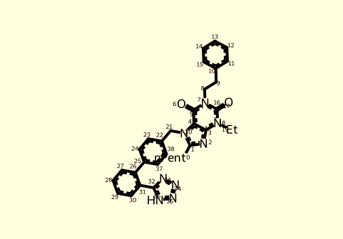 CCCCCc1nc2c(c(=O)n(CCc3ccccc3)c(=O)n2CC)n1Cc1ccc(-c2ccccc2-c2nnn[nH]2)cc1